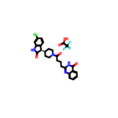 O=C(O)C(F)(F)F.O=C1Nc2cc(Cl)ccc2[C@@H]1C1CCN(C(=O)CCCc2nc3ccccc3c(=O)[nH]2)CC1